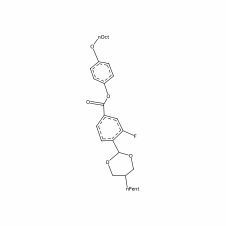 CCCCCCCCOc1ccc(OC(=O)c2ccc(C3OCC(CCCCC)CO3)c(F)c2)cc1